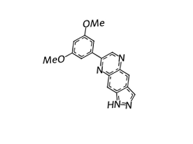 COc1cc(OC)cc(-c2cnc3cc4cn[nH]c4cc3n2)c1